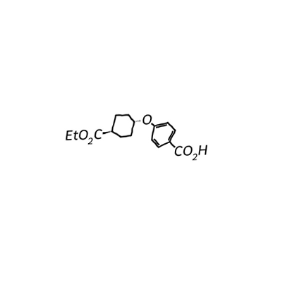 CCOC(=O)[C@H]1CC[C@H](Oc2ccc(C(=O)O)cc2)CC1